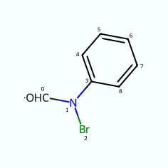 O=[C]N(Br)c1ccccc1